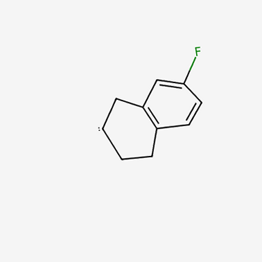 Fc1ccc2c(c1)C[C]CC2